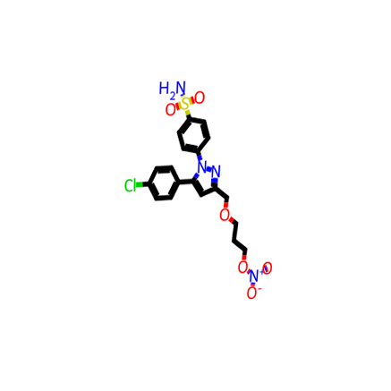 NS(=O)(=O)c1ccc(-n2nc(COCCCO[N+](=O)[O-])cc2-c2ccc(Cl)cc2)cc1